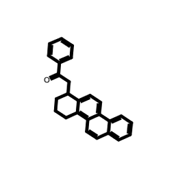 O=C(CC1CCCc2c1ccc1c2ccc2ccccc21)c1ccccc1